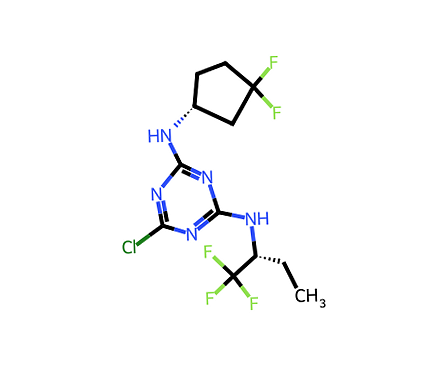 CC[C@@H](Nc1nc(Cl)nc(N[C@@H]2CCC(F)(F)C2)n1)C(F)(F)F